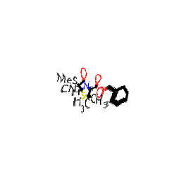 [C-]#[N+][C@]1(SC)C(=O)N2[C@@H](C(=O)OCc3ccccc3)C(C)(C)S[C@@H]21